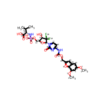 COc1cc(OC)c2oc(COC(=O)Nc3ccn([C@@H]4O[C@H](COP(=O)(O)N[C@H](C(=O)O)C(C)C)[C@@H](O)C4(F)F)c(=O)n3)cc2c1